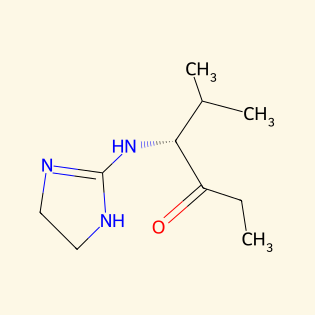 CCC(=O)[C@H](NC1=NCCN1)C(C)C